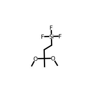 COC(C)(CC[Si](F)(F)F)OC